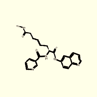 O=C(CCCCC[C@H](NC(=O)c1cccnc1)C(=O)Nc1ccc2ncccc2c1)NO